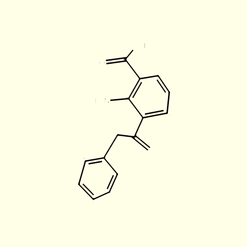 Nc1c(C(=O)O)cccc1C(=O)Cc1ccccc1